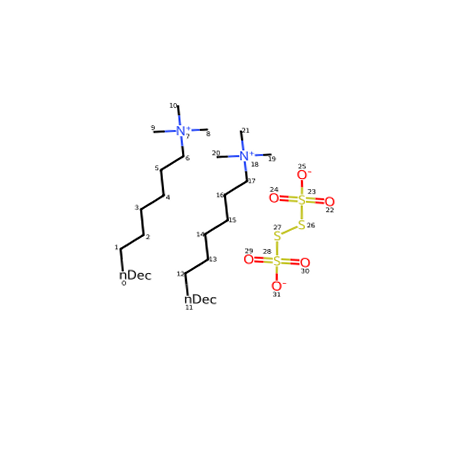 CCCCCCCCCCCCCCCC[N+](C)(C)C.CCCCCCCCCCCCCCCC[N+](C)(C)C.O=S(=O)([O-])SSS(=O)(=O)[O-]